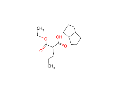 C1CC2CCCC2C1.CCCC(C(=O)O)C(=O)OCC